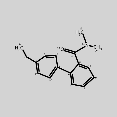 CCc1ccc(-c2ccccc2C(=O)N(C)C)cc1